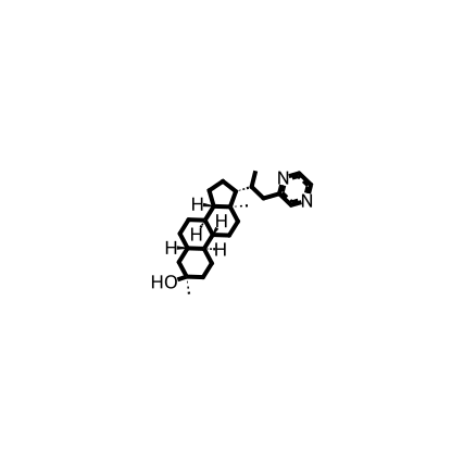 CC(Cc1cnccn1)[C@H]1CC[C@H]2[C@@H]3CC[C@H]4C[C@](C)(O)CC[C@@H]4[C@H]3CC[C@]12C